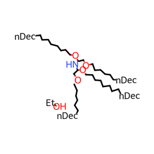 CCCCCCCCCCCCCCCCCCOC(COCCCCCCCCCCCCCCCC)NC(COCCCCCCCCCCCCCCCC)OCCCCCCCCCCCCCCCCCC.CCO